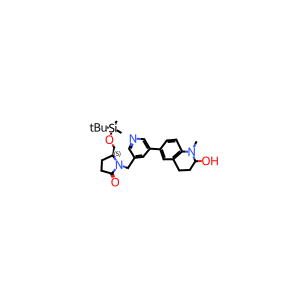 CN1c2ccc(-c3cncc(CN4C(=O)CC[C@H]4CO[Si](C)(C)C(C)(C)C)c3)cc2CCC1O